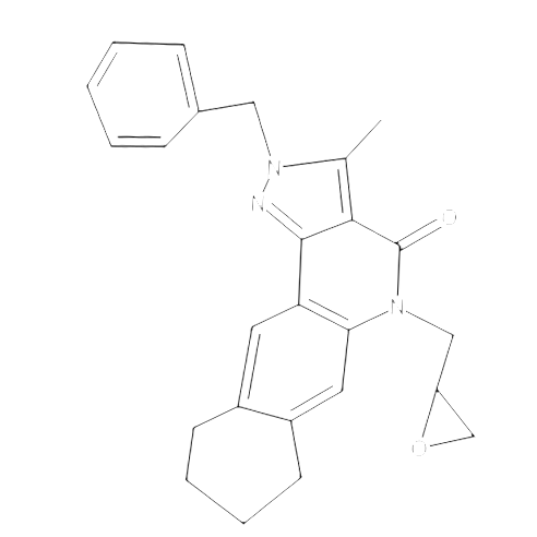 Cc1c2c(=O)n(CC3CO3)c3cc4c(cc3c2nn1Cc1ccccc1)CCCC4